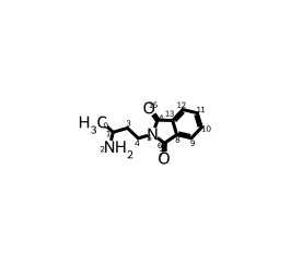 CC(N)CCN1C(=O)c2ccccc2C1=O